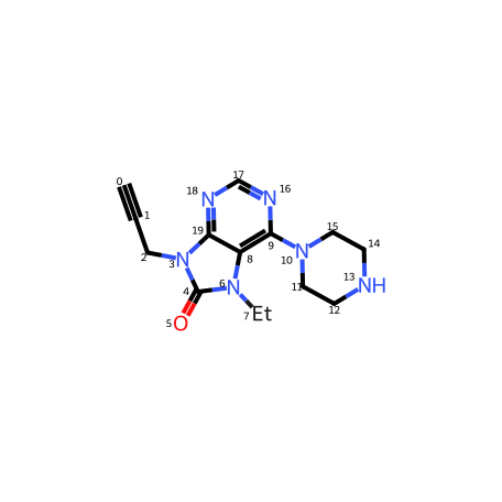 C#CCn1c(=O)n(CC)c2c(N3CCNCC3)ncnc21